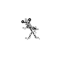 COCCOCCN(CCCCC(NC(=O)C(CC(C)C)NC(=O)C(Cc1ccccc1)NC(=O)C(N)Cc1ccccc1)C(=O)N1CCC(N)(C(=O)O)CC1)CCOCCOC